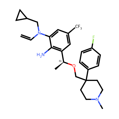 C=CN(CC1CC1)c1cc(C(F)(F)F)cc([C@H](C)OCC2(c3ccc(F)cc3)CCN(C)CC2)c1N